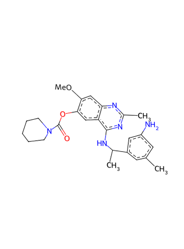 COc1cc2nc(C)nc(NC(C)c3cc(C)cc(N)c3)c2cc1OC(=O)N1CCCCC1